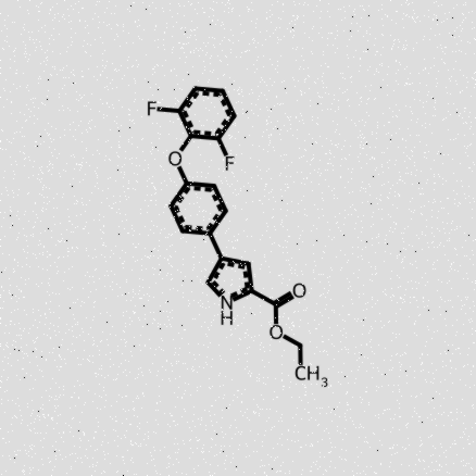 CCOC(=O)c1cc(-c2ccc(Oc3c(F)cccc3F)cc2)c[nH]1